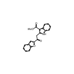 COC(=O)c1c(CC(=O)c2cc3ccccc3o2)[nH]c2ccccc12